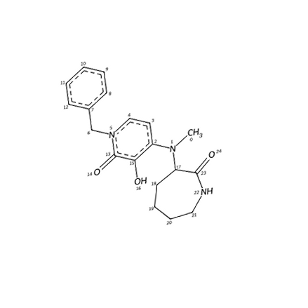 CN(c1ccn(Cc2ccccc2)c(=O)c1O)C1CCCCNC1=O